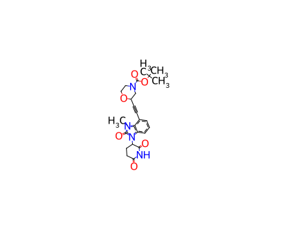 Cn1c(=O)n(C2CCC(=O)NC2=O)c2cccc(C#CC3CN(C(=O)OC(C)(C)C)CCO3)c21